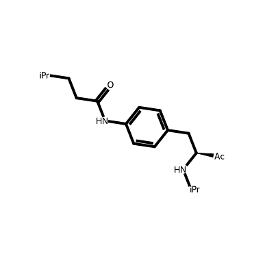 CC(=O)[C@H](Cc1ccc(NC(=O)CCC(C)C)cc1)NC(C)C